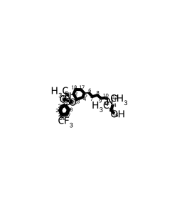 CN([C@H]1CC[C@H](CCCCC[N+](C)(C)CCO)CC1)S(=O)(=O)c1ccc(C(F)(F)F)cc1